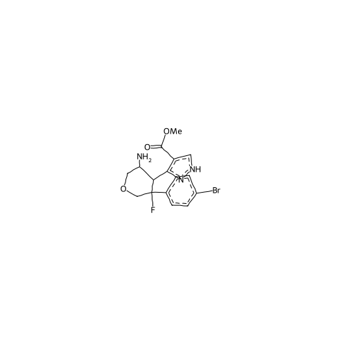 COC(=O)c1c[nH]nc1C1C(N)COCC1(F)c1ccc(Br)cc1